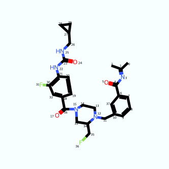 CC(C)=NC(=O)c1cccc(CN2CCN(C(=O)c3ccc(NC(=O)NCC4CC4)c(F)c3)CC2CF)c1